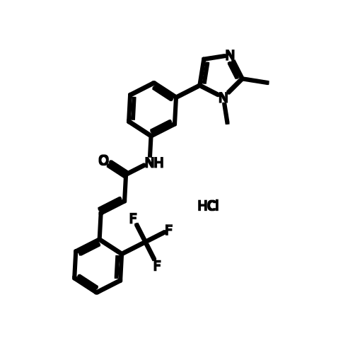 Cc1ncc(-c2cccc(NC(=O)C=Cc3ccccc3C(F)(F)F)c2)n1C.Cl